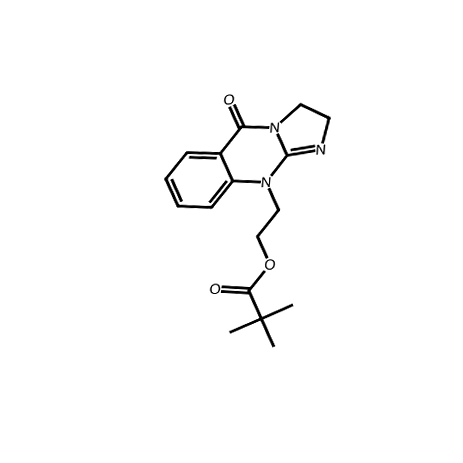 CC(C)(C)C(=O)OCCN1C2=NCCN2C(=O)c2ccccc21